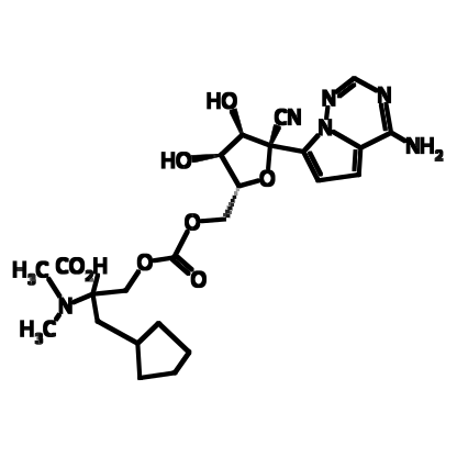 CN(C)C(COC(=O)OC[C@H]1O[C@@](C#N)(c2ccc3c(N)ncnn23)[C@H](O)[C@@H]1O)(CC1CCCC1)C(=O)O